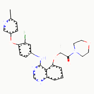 Cc1ccc(Oc2ccc(Nc3ncnc4cccc(O[C@H](C)C(=O)N5CCOCC5)c34)cc2F)cn1